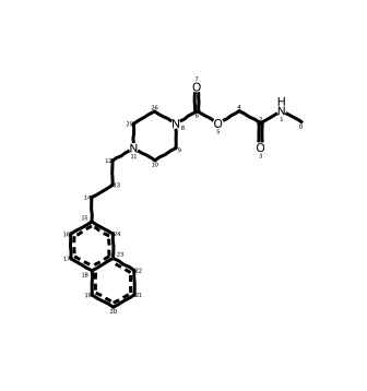 CNC(=O)COC(=O)N1CCN(CCCc2ccc3ccccc3c2)CC1